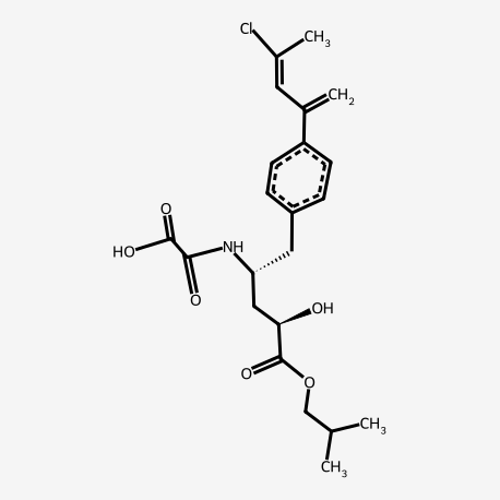 C=C(/C=C(\C)Cl)c1ccc(C[C@H](C[C@@H](O)C(=O)OCC(C)C)NC(=O)C(=O)O)cc1